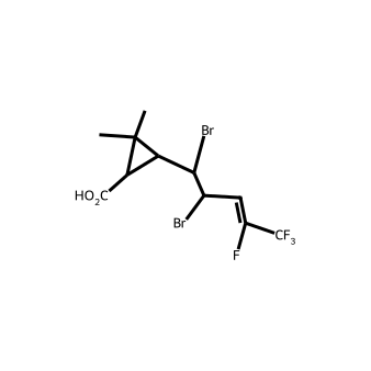 CC1(C)C(C(=O)O)C1C(Br)C(Br)C=C(F)C(F)(F)F